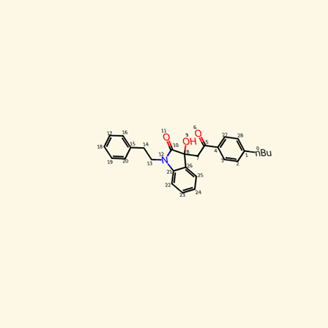 CCCCc1ccc(C(=O)CC2(O)C(=O)N(CCc3ccccc3)c3ccccc32)cc1